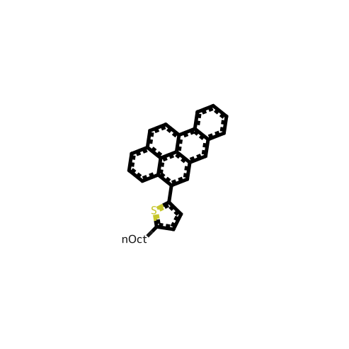 CCCCCCCCc1ccc(-c2cc3cc4ccccc4c4ccc5cccc2c5c34)s1